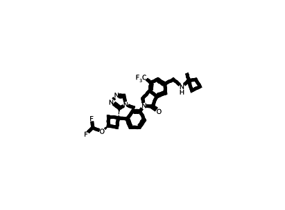 Cn1cnnc1[C@]1(c2cccc(N3Cc4c(cc(CNC5(C)CCC5)cc4C(F)(F)F)C3=O)c2)C[C@@H](OC(F)F)C1